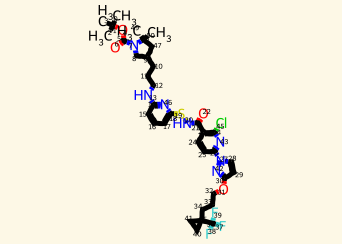 CC(C)(C)OC(=O)N1CC(CCCNc2cccc(SNC(=O)c3ccc(-n4ccc(OCCCC5(C(F)(F)F)CC5)n4)nc3Cl)n2)CC1(C)C